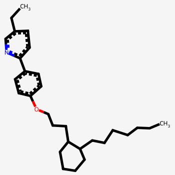 CCCCCCCC1CCCCC1CCCOc1ccc(-c2ccc(CC)cn2)cc1